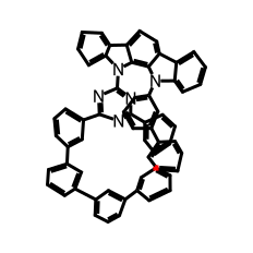 c1ccc(-c2cccc(-c3cccc(-c4cccc(-c5nc(-c6ccccc6)nc(-n6c7ccccc7c7ccc8c9ccccc9n(-c9cccc(-c%10ccccc%10)c9)c8c76)n5)c4)c3)c2)cc1